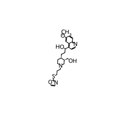 COc1ccc2nccc([C@H](O)CC[C@@H]3CCN(CCCSc4ncco4)C[C@@H]3CO)c2c1